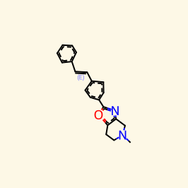 CN1CCc2oc(-c3ccc(/C=C/c4ccccc4)cc3)nc2C1